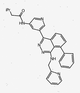 CC(C)CC(=O)Nc1cncc(-c2nnc(NCc3ccccn3)c3c(-c4ccccc4)cccc23)c1